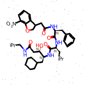 CC(C)CNC(=O)C[C@H](O)[C@H](CC1CCCCC1)NC(=O)[C@H](CC(C)C)NC(=O)[C@H](Cc1ccccc1)NC(=O)CC1COc2c1cccc2[N+](=O)[O-]